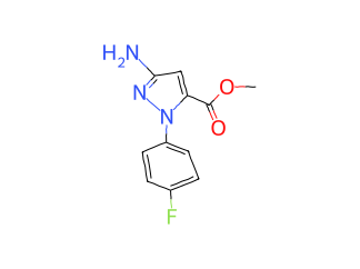 COC(=O)c1cc(N)nn1-c1ccc(F)cc1